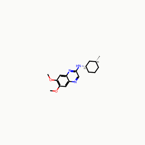 COc1cc2ncc(N[C@H]3CCC[C@@H](C)C3)nc2cc1OC